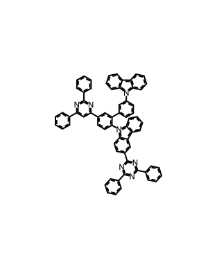 c1ccc(-c2cc(-c3ccc(-n4c5ccccc5c5cc(-c6nc(-c7ccccc7)nc(-c7ccccc7)n6)ccc54)c(-c4cccc(-n5c6ccccc6c6ccccc65)c4)c3)nc(-c3ccccc3)n2)cc1